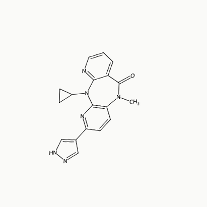 CN1C(=O)c2cccnc2N(C2CC2)c2nc(-c3cn[nH]c3)ccc21